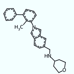 Cc1c(-c2ccccc2)cccc1-n1cc2ccc(CNC3CCOCC3)cc2c1